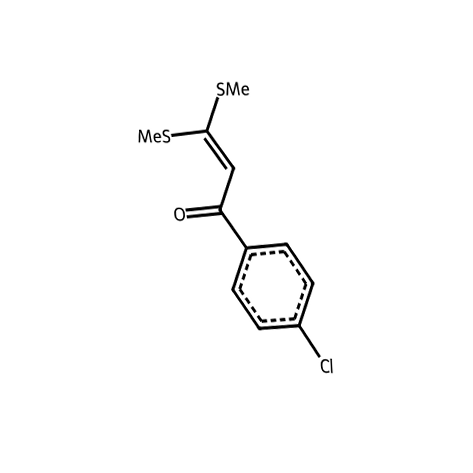 CSC(=CC(=O)c1ccc(Cl)cc1)SC